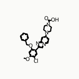 COc1cc(OCc2ccccc2)c(-c2cn3ccc(N4CCN(C(=O)O)CC4)cc3n2)cc1Cl